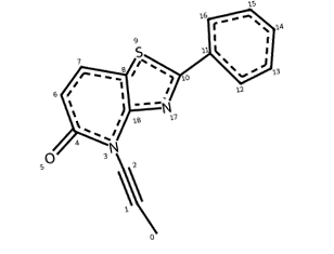 CC#Cn1c(=O)ccc2sc(-c3ccccc3)nc21